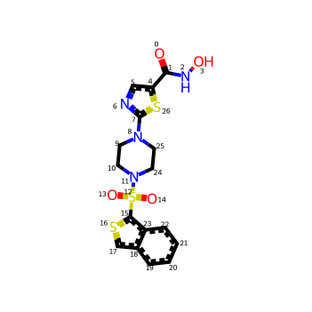 O=C(NO)c1cnc(N2CCN(S(=O)(=O)c3scc4ccccc34)CC2)s1